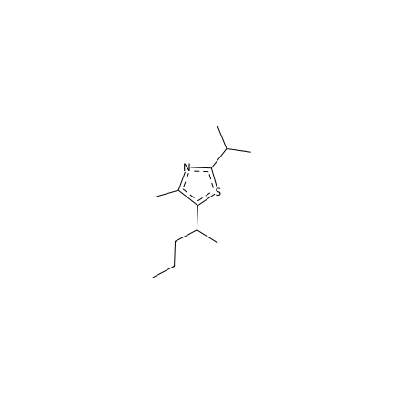 CCCC(C)c1sc(C(C)C)nc1C